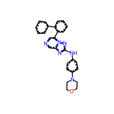 c1ccc(-c2ccccc2-c2cncc3nc(Nc4ccc(N5CCOCC5)cc4)nn23)cc1